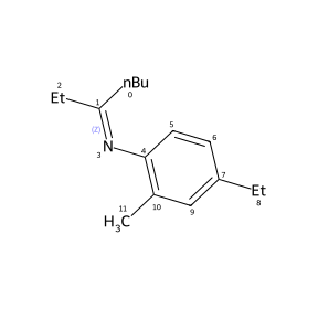 CCCC/C(CC)=N\c1ccc(CC)cc1C